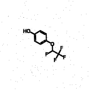 Oc1ccc(OC(F)C(F)(F)F)cc1